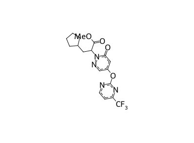 COC(=O)C(CC1CCCC1)n1ncc(Oc2nccc(C(F)(F)F)n2)cc1=O